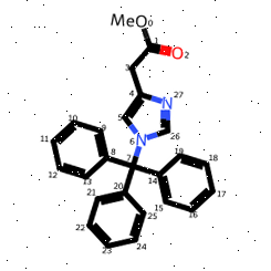 COC(=O)Cc1cn(C(c2ccccc2)(c2ccccc2)c2ccccc2)cn1